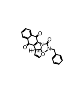 O=C1C2=C(C(=O)c3ccccc31)N1C(=O)N(Cc3ccccc3)C[C@@]13OC=C[C@@H]23